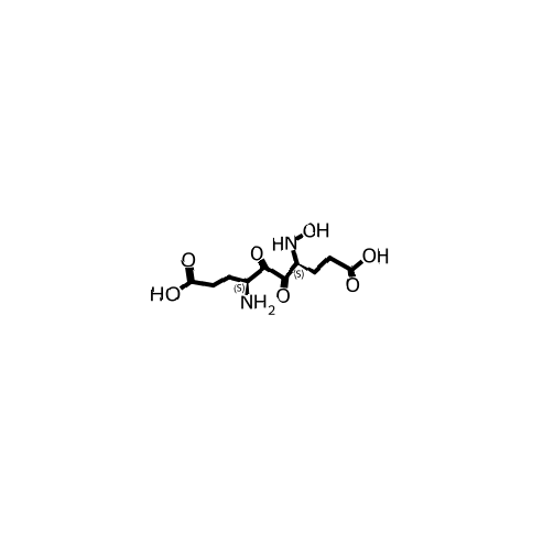 N[C@@H](CCC(=O)O)C(=O)C(=O)[C@H](CCC(=O)O)NO